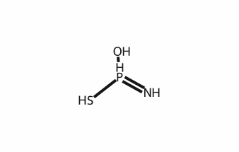 N=[PH](O)S